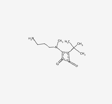 CN(CCCN)c1c(C(C)(C)C)c(=O)c1=O